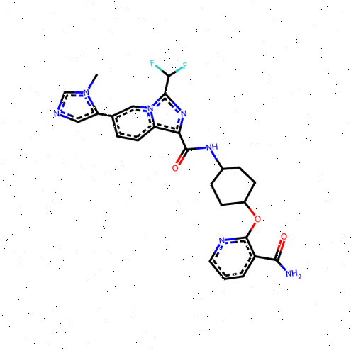 Cn1cncc1-c1ccc2c(C(=O)NC3CCC(Oc4ncccc4C(N)=O)CC3)nc(C(F)F)n2c1